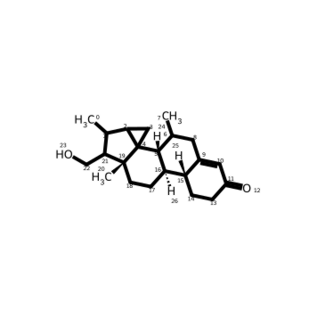 CC1C2CC23[C@@H]2C(C)CC4=CC(=O)CC[C@@H]4[C@H]2CC[C@]3(C)C1CO